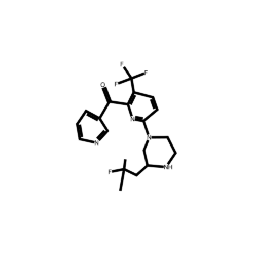 CC(C)(F)CC1CN(c2ccc(C(F)(F)F)c(C(=O)c3cccnc3)n2)CCN1